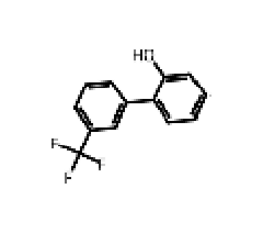 Oc1c[c]ccc1-c1cccc(C(F)(F)F)c1